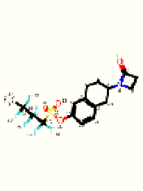 O=C1CCN1C1CCc2cc(OS(=O)(=O)C(F)(F)C(F)(F)C(F)(F)C(F)(F)F)ccc2C1